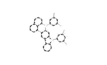 Cc1cc(C)cc(N2c3cc4c(cc3-c3cccc5cccc2c35)c2ccccc2n4-c2cc(C)cc(C)c2)c1